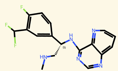 CNC[C@@H](Nc1ncnc2cccnc12)c1ccc(F)c(C(F)F)c1